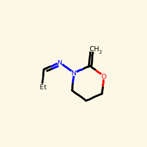 C=C1OCCCN1/N=C\CC